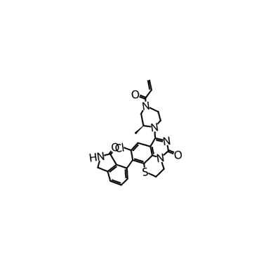 C=CC(=O)N1CCN(c2nc(=O)n3c4c(c(-c5cccc6c5C(=O)NC6)c(Cl)cc24)SCC3)[C@@H](C)C1